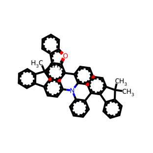 CC1(C)c2ccccc2-c2ccc(N(c3ccccc3-c3cccc4c3-c3ccccc3C4(C)C)c3ccccc3-c3cccc4c3oc3ccccc34)cc21